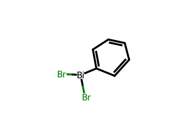 [Br][Bi]([Br])[c]1ccccc1